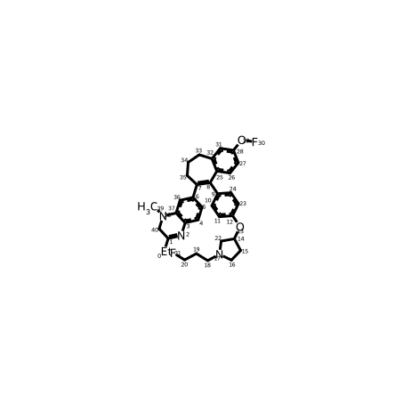 CCC1=Nc2ccc(C3=C(c4ccc(OC5CCN(CCCF)C5)cc4)c4ccc(OF)cc4CCC3)cc2N(C)C1